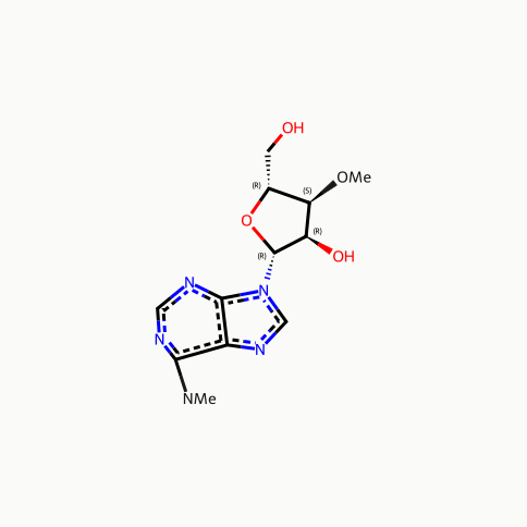 CNc1ncnc2c1ncn2[C@@H]1O[C@H](CO)[C@@H](OC)[C@H]1O